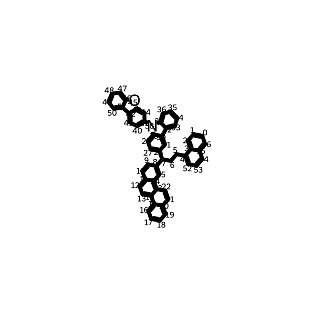 c1ccc2c(CCC(c3ccc4ccc5c6ccccc6ccc5c4c3)c3ccc4c(c3)c3ccccc3n4-c3ccc4c(c3)oc3ccccc34)cccc2c1